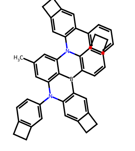 Cc1cc2c3c(c1)N(c1cc4c(cc1-c1ccccc1)CC4)c1c(ccc4c1CC4)B3c1cc3c(cc1N2c1ccc2c(c1)CC2)CC3